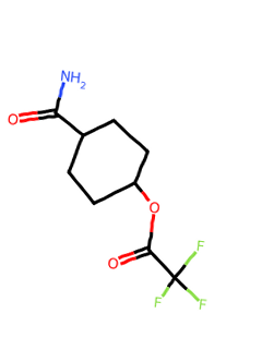 NC(=O)C1CCC(OC(=O)C(F)(F)F)CC1